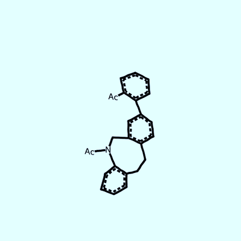 CC(=O)c1ccccc1-c1ccc2c(c1)CN(C(C)=O)c1ccccc1CC2